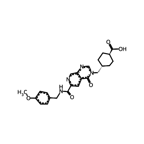 COc1ccc(CNC(=O)c2cc3c(=O)n(C[C@H]4CC[C@H](C(=O)O)CC4)cnc3cn2)cc1